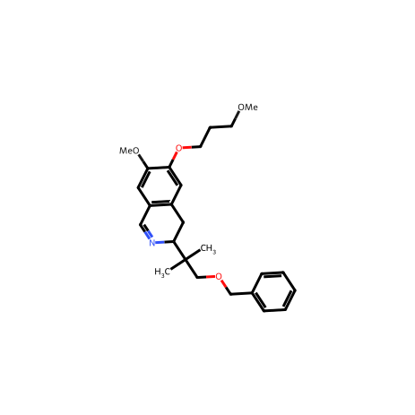 COCCCOc1cc2c(cc1OC)C=NC(C(C)(C)COCc1ccccc1)C2